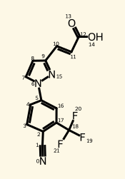 N#Cc1ccc(-n2ccc(C=CC(=O)O)n2)cc1C(F)(F)F